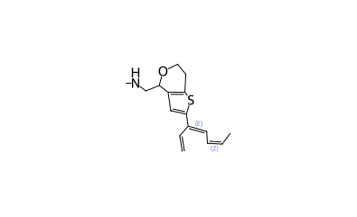 C=C/C(=C\C=C/C)c1cc2c(s1)CCOC2CNC